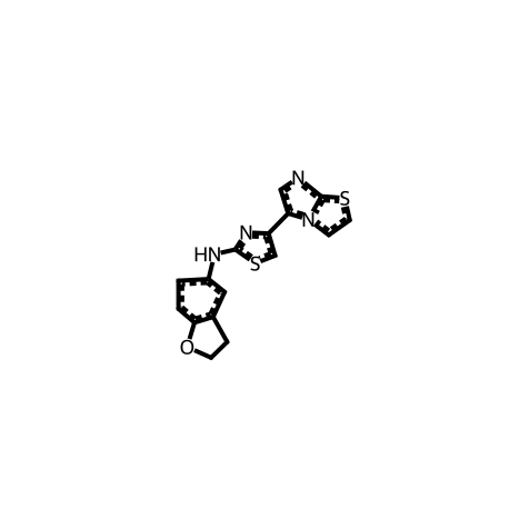 c1cn2c(-c3csc(Nc4ccc5c(c4)CCO5)n3)cnc2s1